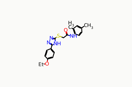 CCOc1ccc(-c2nnc(SCC(=O)Nc3ccc(C)cc3C)[nH]2)cc1